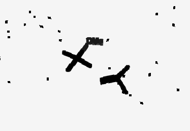 C=C(C)C.COC(C)(C)C